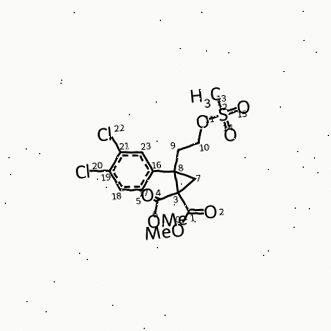 COC(=O)C1(C(=O)OC)CC1(CCOS(C)(=O)=O)c1ccc(Cl)c(Cl)c1